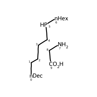 CCCCCCCCCCCCCCPCCCCCC.NCC(=O)O